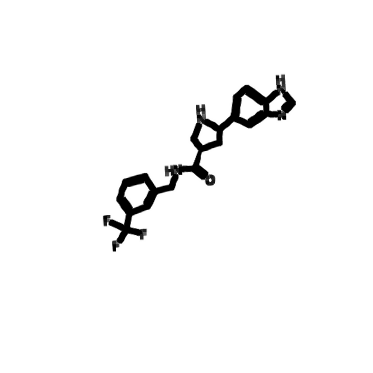 O=C(NCc1cccc(C(F)(F)F)c1)[C@H]1CNC(c2ccc3[nH]cnc3c2)C1